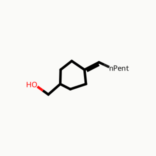 CCCCCC=C1CCC(CO)CC1